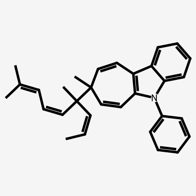 C/C=C\C(C)(/C=C\C=C(C)C)C1(C)C=Cc2c(n(-c3ccccc3)c3ccccc23)C=C1